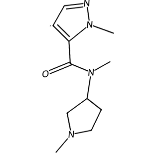 CN1CCC(N(C)C(=O)c2[c]cnn2C)C1